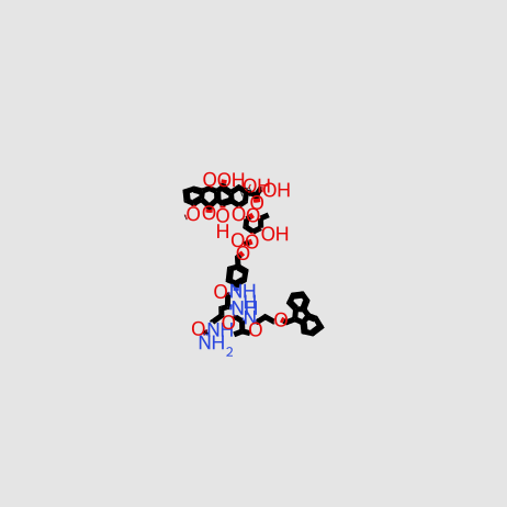 COc1cccc2c1C(=O)c1c(O)c3c(c(O)c1C2=O)C[C@@](O)(C(=O)CO)CC3OC1CC(OC(=O)OCc2ccc(NC(=O)C(CCCNC(N)=O)NC(=O)C(NC(=O)CCOCC3c4ccccc4-c4ccccc43)C(C)C)cc2)C(O)C(C)O1